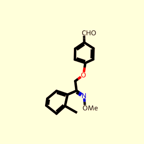 CON=C(COc1ccc(C=O)cc1)c1ccccc1C